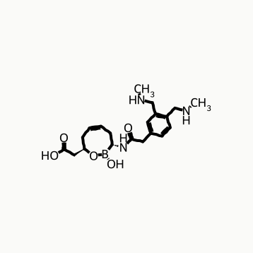 CNCc1ccc(CC(=O)N[C@H]2C/C=C\C[C@H](CC(=O)O)OB2O)cc1CNC